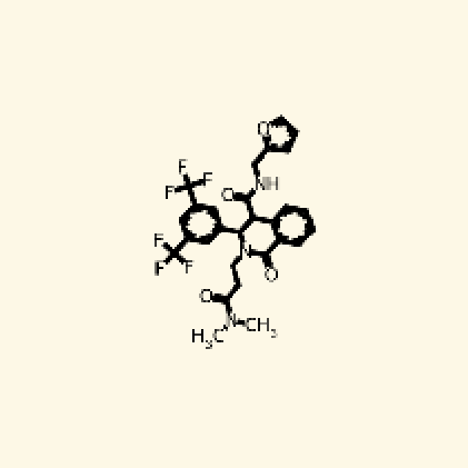 CN(C)C(=O)CCN1C(=O)c2ccccc2C(C(=O)NCc2ccco2)C1c1cc(C(F)(F)F)cc(C(F)(F)F)c1